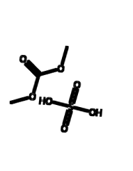 COC(=O)OC.O=S(=O)(O)O